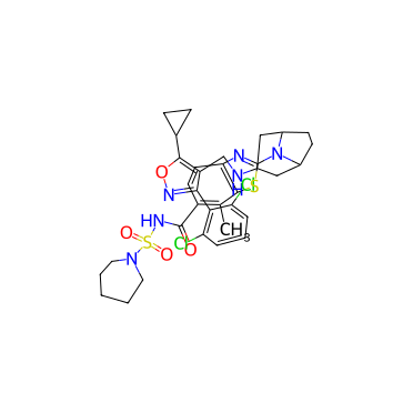 Cc1c(C(=O)NS(=O)(=O)N2CCCCC2)ccc2nc(N3C4CCC3CC(NCc3c(-c5c(Cl)cccc5Cl)noc3C3CC3)C4)sc12